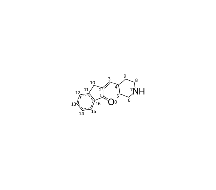 O=C1C(=CC2CCNCC2)Cc2ccccc21